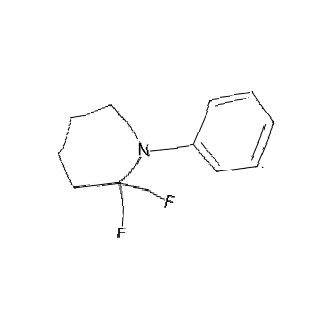 FC1(F)CCCCN1c1c[c]ccc1